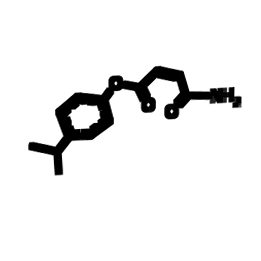 CC(C)c1ccc(OC(=O)/C=C\C(N)=O)cc1